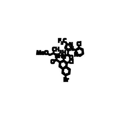 COCC(C)NC(=O)c1cc2cc(Br)ccc2c(Cl)c1NC(=O)c1cc(C(F)(F)F)nn1-c1ncccc1Cl